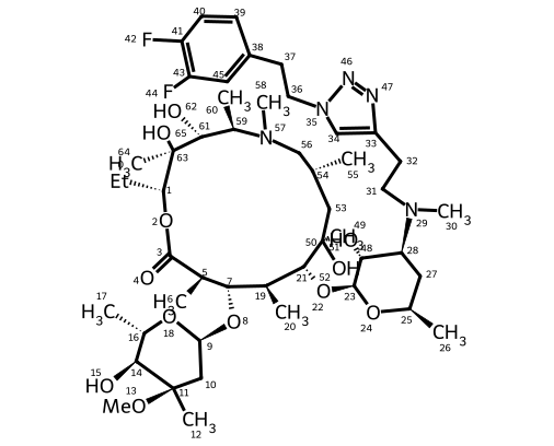 CC[C@H]1OC(=O)[C@H](C)[C@@H](O[C@H]2C[C@@](C)(OC)[C@@H](O)[C@H](C)O2)[C@H](C)[C@@H](O[C@@H]2O[C@H](C)C[C@H](N(C)CCc3cn(CCc4ccc(F)c(F)c4)nn3)[C@H]2O)[C@](C)(O)C[C@@H](C)CN(C)[C@H](C)[C@@H](O)[C@]1(C)O